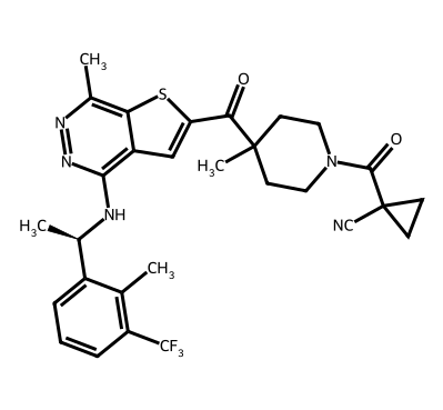 Cc1c([C@@H](C)Nc2nnc(C)c3sc(C(=O)C4(C)CCN(C(=O)C5(C#N)CC5)CC4)cc23)cccc1C(F)(F)F